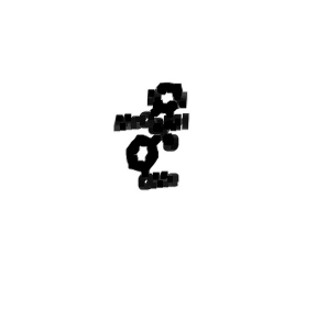 COc1cccc(S(=O)(=O)Nc2nccnc2OC)c1